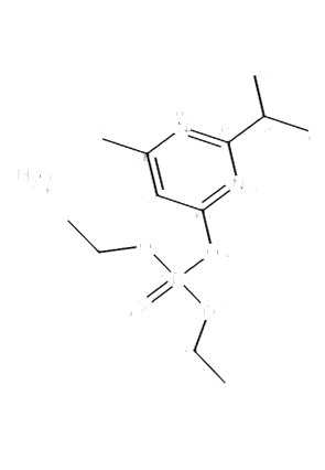 CCOP(=S)(OCC)Oc1cc(C)nc(C(C)C)n1.O